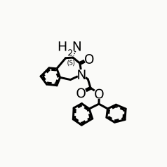 N[C@H]1Cc2ccccc2CN(CC(=O)OC(c2ccccc2)c2ccccc2)C1=O